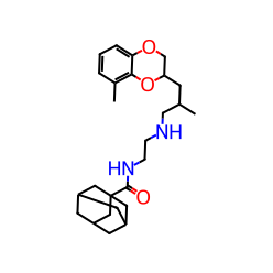 Cc1cccc2c1OC(CC(C)CNCCNC(=O)C13CC4CC(CC(C4)C1)C3)CO2